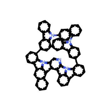 c1ccc(-n2c3ccccc3c3cc(-c4cccc5c6cc7ccccc7c7c8c9c%10cccc%11c%12cccc(-c%13ccc%14c(c%13)c%13ccccc%13n%14-c%13ccccc%13)c%12n(c9ncc8n(c45)c67)c%11%10)ccc32)cc1